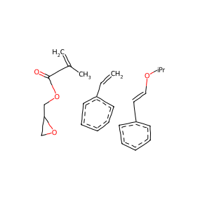 C=C(C)C(=O)OCC1CO1.C=Cc1ccccc1.CC(C)OC=Cc1ccccc1